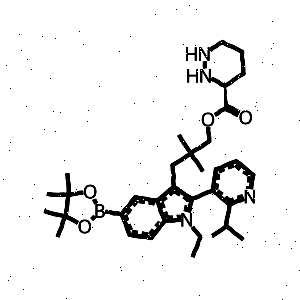 CCn1c(-c2cccnc2C(C)C)c(CC(C)(C)COC(=O)[C@@H]2CCCNN2)c2cc(B3OC(C)(C)C(C)(C)O3)ccc21